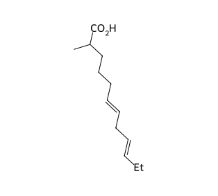 CCC=CCC=CCCCC(C)C(=O)O